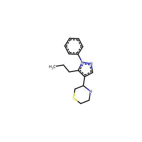 CCCc1c(C2CSCC[N]2)cnn1-c1ccccc1